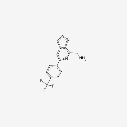 NCc1nc(-c2ccc(C(F)(F)F)cc2)cn2ccnc12